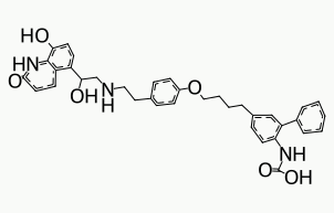 O=C(O)Nc1ccc(CCCCOc2ccc(CCNCC(O)c3ccc(O)c4[nH]c(=O)ccc34)cc2)cc1-c1ccccc1